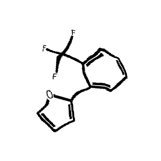 FC(F)(F)c1ccccc1-c1ccco1